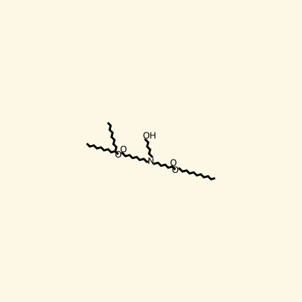 CCCCCCCCCCCOC(=O)CCCCCN(CCCCCCO)CCCCCCCC(=O)OC(CCCCCCCC)CCCCCCCC